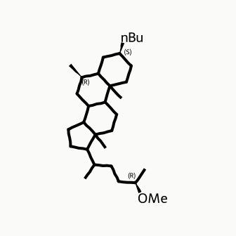 CCCC[C@H]1CCC2(C)C3CCC4(C)C(C(C)CC[C@@H](C)OC)CCC4C3C[C@@H](C)C2C1